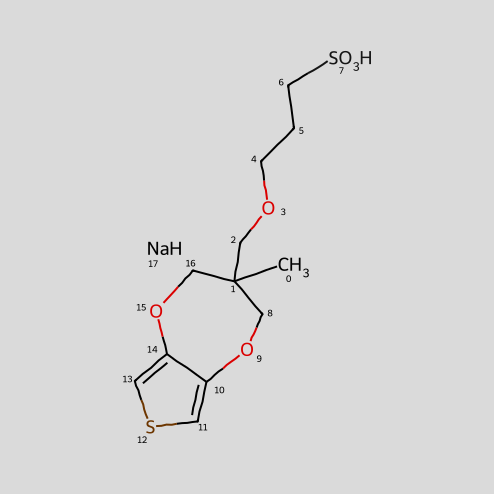 CC1(COCCCS(=O)(=O)O)COc2cscc2OC1.[NaH]